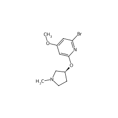 COc1cc(Br)nc(O[C@H]2CCN(C)C2)c1